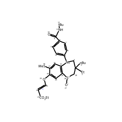 CCCCC1(CC)CN(c2ccc(C(=O)NC(C)(C)C)cc2)c2cc(SC)c(O/C=C/C(=O)OCC)cc2[S+]([O-])C1